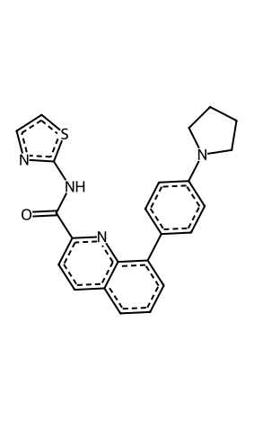 O=C(Nc1nccs1)c1ccc2cccc(-c3ccc(N4CCCC4)cc3)c2n1